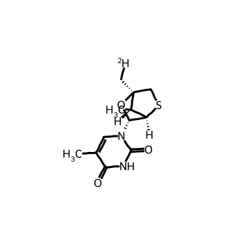 [2H]C[C@@]12CS[C@@H]([C@H](n3cc(C)c(=O)[nH]c3=O)O1)[C@@H]2C